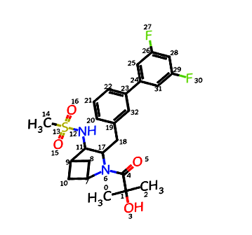 CC(C)(O)C(=O)N1C2CC(C2)C(NS(C)(=O)=O)C1Cc1cccc(-c2cc(F)cc(F)c2)c1